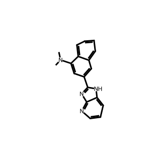 CN(C)c1cc(-c2nc3ncccc3[nH]2)cc2ccccc12